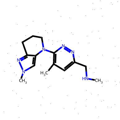 CNCc1cc(C)c(N2CCCc3nn(C)cc32)nn1